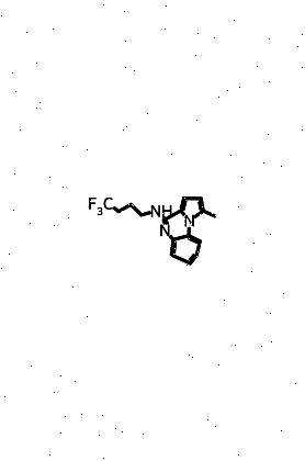 Cc1ccc2c(NCCCC(F)(F)F)nc3ccccc3n12